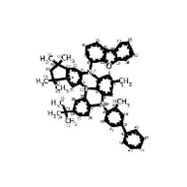 Cc1cc2c3c(c1)N(c1cccc4c1oc1ccccc14)c1cc4c(cc1B3c1cc(C(C)(C)C)ccc1N2c1ccc(-c2ccccc2)cc1C)C(C)(C)CC4(C)C